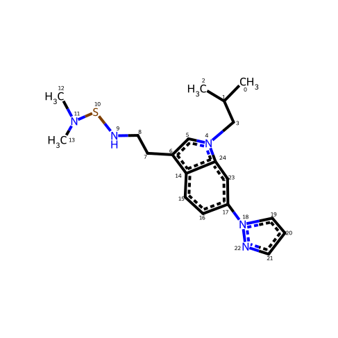 CC(C)Cn1cc(CCNSN(C)C)c2ccc(-n3cccn3)cc21